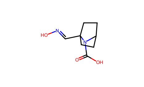 O=C(O)N1C2CCC1(C=NO)CC2